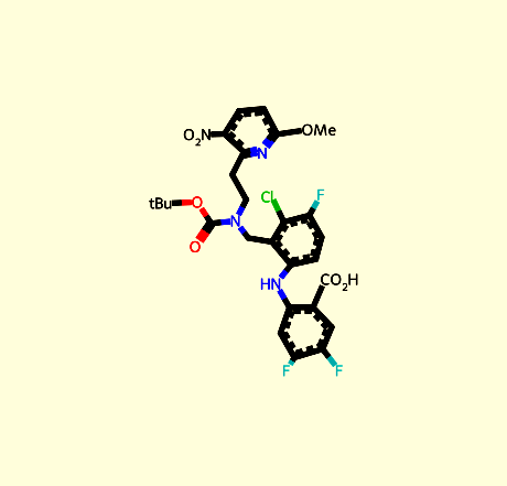 COc1ccc([N+](=O)[O-])c(CCN(Cc2c(Nc3cc(F)c(F)cc3C(=O)O)ccc(F)c2Cl)C(=O)OC(C)(C)C)n1